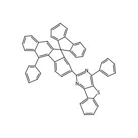 c1ccc(-c2c3c(cc4ccccc24)C2(c4ccccc4-c4ccccc42)c2cc(-c4nc(-c5ccccc5)c5sc6ccccc6c5n4)ccc2-3)cc1